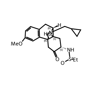 CC[S+]([O-])N[C@H]1C[C@@]2(O)[C@H]3Cc4ccc(OC)cc4[C@@]2(CCN3CC2CC2)CC1=O